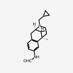 C[C@@H]1[C@H]2Cc3ccc(NC=O)cc3[C@]1(C)CCN2CC1CC1